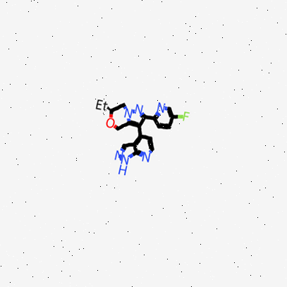 CC[C@H]1Cn2nc(-c3ccc(F)cn3)c(-c3ccnc4[nH]ncc34)c2CO1